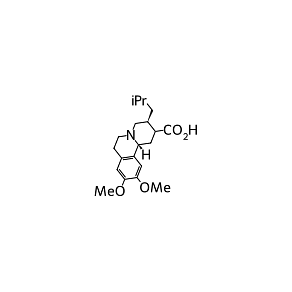 COc1cc2c(cc1OC)[C@H]1CC(C(=O)O)[C@H](CC(C)C)CN1CC2